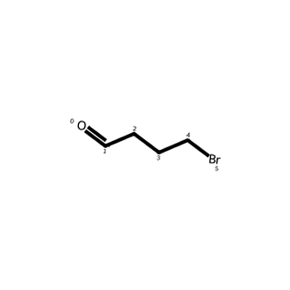 O=[C]CCCBr